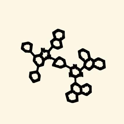 c1ccc(-c2cc(-c3ccccc3)c3nc(-c4ccc5ccccc5c4)n(-c4ccc(-c5nc(-c6cc7ccccc7c7ccccc67)nc(-c6cc7ccccc7c7ccccc67)n5)cc4)c3c2)cc1